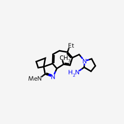 CC/C1=C(CN2CCCC2N)/C=C(\C)C2N=C(NC)C3(CCC3)/C2=C/C1